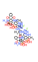 Cc1c(Nc2nc(F)nc(NCC(C)Nc3nc(F)nc(Nc4c(C)c(Nc5cc(S(=O)(=O)O)c(N)c6c5C(=O)c5ccccc5C6=O)c(C)c(S(=O)(=O)O)c4C)n3)n2)c(C)c(S(=O)(=O)O)c(C)c1Nc1cc(S(=O)(=O)O)c(N)c2c1C(=O)c1ccccc1C2=O